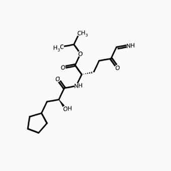 CC(C)OC(=O)[C@H](CCC(=O)C=N)NC(=O)[C@@H](O)CC1CCCC1